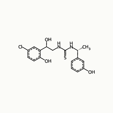 C[C@@H](NC(=S)NCC(O)c1cc(Cl)ccc1O)c1cccc(O)c1